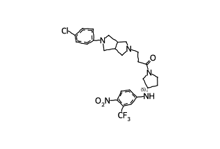 O=C(CCN1CC2CN(c3ccc(Cl)cc3)CC2C1)N1CC[C@H](Nc2ccc([N+](=O)[O-])c(C(F)(F)F)c2)C1